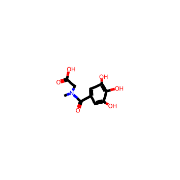 CN(CC(=O)O)C(=O)c1cc(O)c(O)c(O)c1